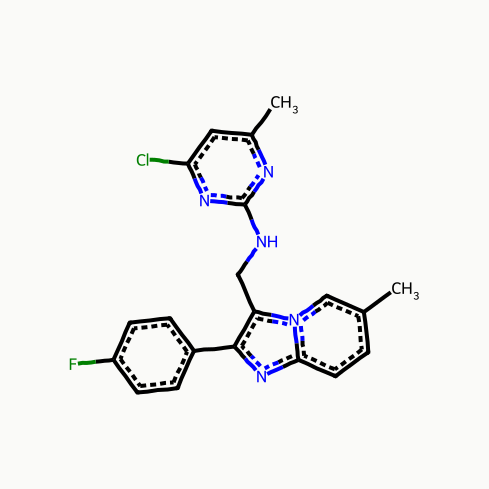 Cc1ccc2nc(-c3ccc(F)cc3)c(CNc3nc(C)cc(Cl)n3)n2c1